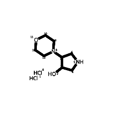 Cl.Cl.OC1CNCC1N1CCOCC1